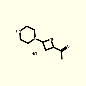 CC(=O)C1CC(N2CCNCC2)N1.Cl